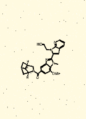 COc1cc(C(=O)N2C[C@H]3CC4C[C@@H]2[C@H]43)cc2nc(-c3cc4cccnc4n3CCO)n(C)c12